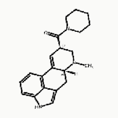 CN1C[C@H](C(=O)N2CCCCC2)C=C2c3cccc4[nH]cc(c34)C[C@H]21